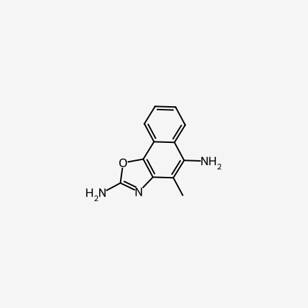 Cc1c(N)c2ccccc2c2oc(N)nc12